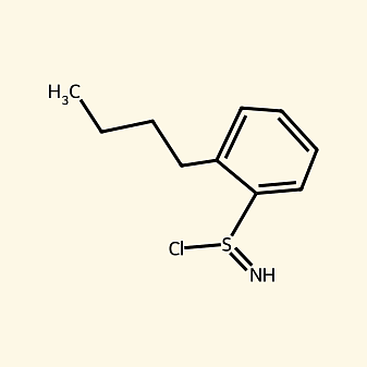 CCCCc1ccccc1S(=N)Cl